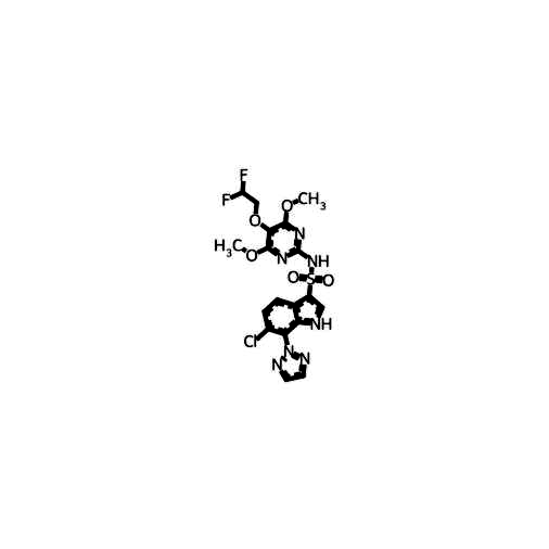 COc1nc(NS(=O)(=O)c2c[nH]c3c(-n4nccn4)c(Cl)ccc23)nc(OC)c1OCC(F)F